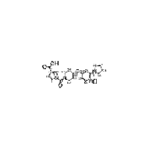 O=C(O)c1ccn(C(=O)N2CCC(Oc3ccc(Cl)c(N4CCCC4)c3)CC2)n1